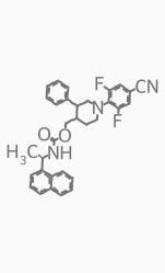 C[C@@H](NC(=O)OCC1CCN(c2c(F)cc(C#N)cc2F)CC1c1ccccc1)c1cccc2ccccc12